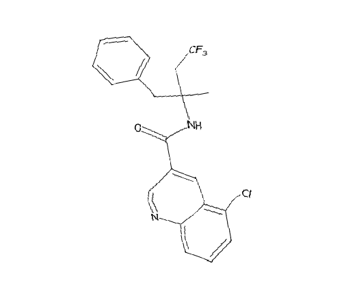 CC(Cc1ccccc1)(CC(F)(F)F)NC(=O)c1cnc2cccc(Cl)c2c1